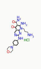 Cl.NCCCn1c(N)c(C(N)=O)c(=O)c2cnc(Nc3ccc(N4CCOCC4)cc3)nc21